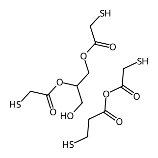 O=C(CS)OC(=O)CCS.O=C(CS)OCC(CO)OC(=O)CS